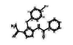 NC(=O)c1ccc(NC(=O)c2ccccc2)n1Cc1ccc(F)cc1